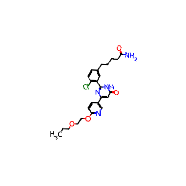 CCCOCCOc1ccc(-c2cc(=O)[nH]c(-c3cc(CCCCC(N)=O)ccc3Cl)n2)cn1